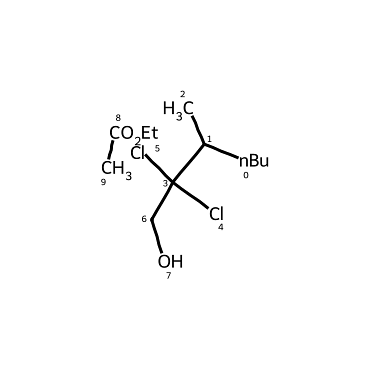 CCCCC(C)C(Cl)(Cl)CO.CCOC(C)=O